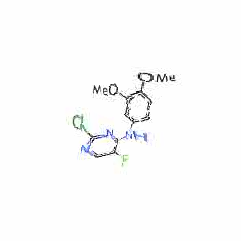 COc1ccc(Nc2nc(Cl)ncc2F)cc1OC